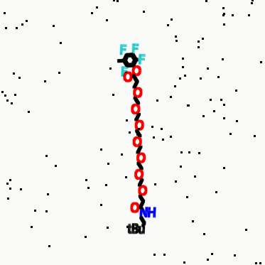 Cc1c(F)c(F)c(F)c(OC(=O)CCOCCOCCOCCOCCOCCOCCOCCC(=O)NCCC(C)(C)C)c1F